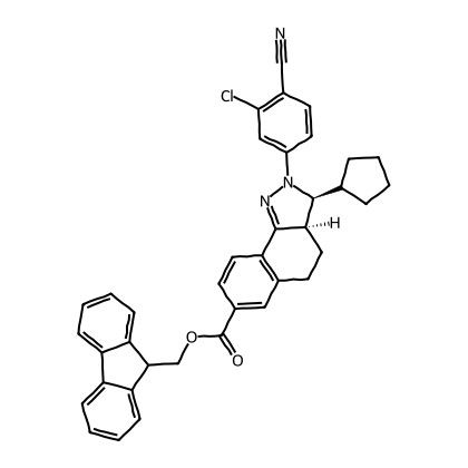 N#Cc1ccc(N2N=C3c4ccc(C(=O)OCC5c6ccccc6-c6ccccc65)cc4CC[C@@H]3[C@@H]2C2CCCC2)cc1Cl